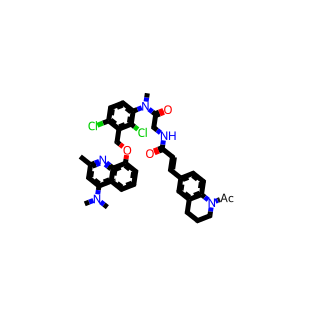 CC(=O)N1CCCc2cc(/C=C/C(=O)NCC(=O)N(C)c3ccc(Cl)c(COc4cccc5c(N(C)C)cc(C)nc45)c3Cl)ccc21